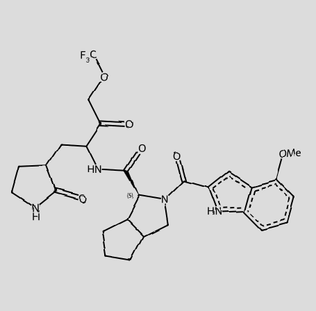 COc1cccc2[nH]c(C(=O)N3CC4CCCC4[C@H]3C(=O)NC(CC3CCNC3=O)C(=O)COC(F)(F)F)cc12